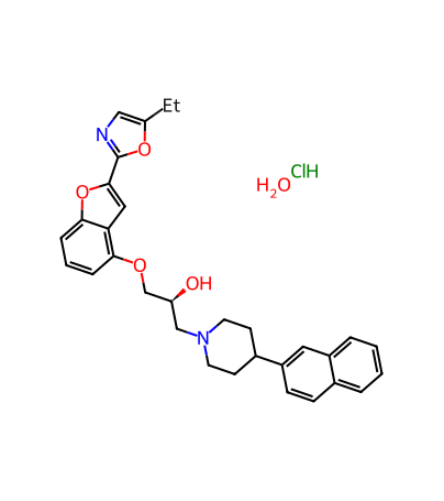 CCc1cnc(-c2cc3c(OC[C@@H](O)CN4CCC(c5ccc6ccccc6c5)CC4)cccc3o2)o1.Cl.O